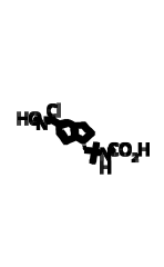 CC(C)(C[C@H]1CCc2cc(/C(Cl)=N/O)ccc21)NC(=O)O